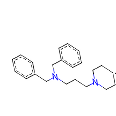 [CH]1CCN(CCCN(Cc2ccccc2)Cc2ccccc2)CC1